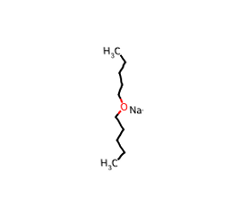 CCCCCOCCCCC.[Na]